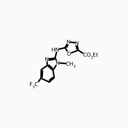 CCOC(=O)c1nnc(Nc2nc3cc(C(F)(F)F)ccc3n2C)o1